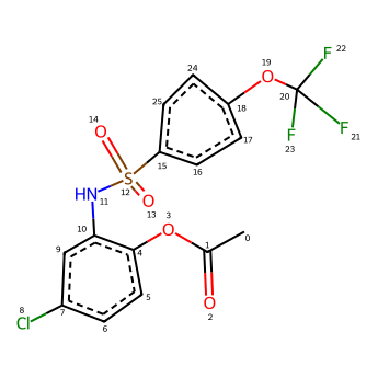 CC(=O)Oc1ccc(Cl)cc1NS(=O)(=O)c1ccc(OC(F)(F)F)cc1